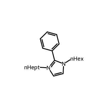 CCCCCCC[n+]1ccn(CCCCCC)c1-c1ccccc1